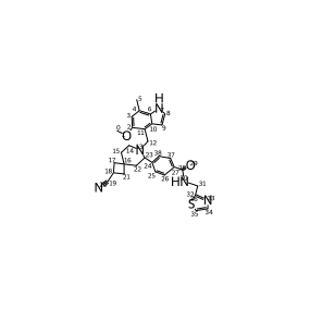 COc1cc(C)c2[nH]ccc2c1CN1CCC2(CC(C#N)C2)CC1c1ccc(C(=O)NCc2nccs2)cc1